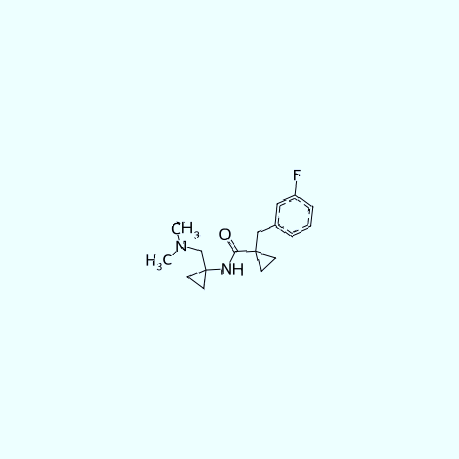 CN(C)CC1(NC(=O)C2(Cc3cccc(F)c3)CC2)CC1